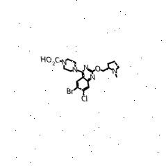 CN1CCCC1COc1nc(N2CCN(C(=O)O)CC2)c2cc(Br)c(Cl)cc2n1